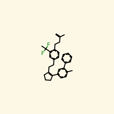 C=C(C)CCc1ccc(CCC2=C(c3ccc(C)c(-c4ccccc4)c3)CCC2)cc1C(C)(F)F